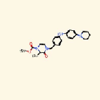 CC(C)(C)OC(=O)N1CCN(Cc2ccc(Nc3ccc(N4CCCCC4)cc3)cc2)C(=O)C1C(C)(C)C